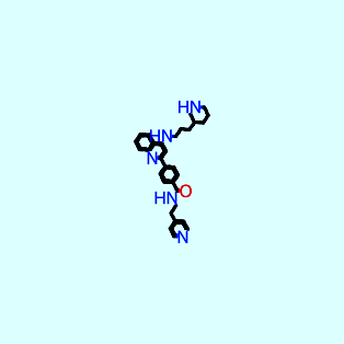 O=C(NCCc1ccncc1)c1ccc(-c2cc(NCCCC3CCCNC3)c3ccccc3n2)cc1